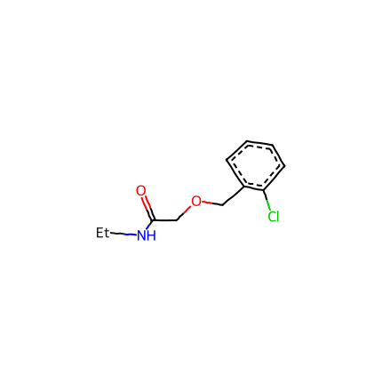 CCNC(=O)COCc1ccccc1Cl